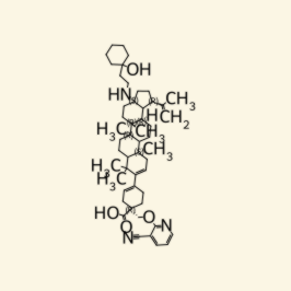 C=C(C)[C@@H]1CC[C@]2(NCCC3(O)CCCCC3)CC[C@]3(C)[C@H](CCC4[C@@]5(C)CC=C(C6=CC[C@](COc7ncccc7C#N)(C(=O)O)CC6)C(C)(C)C5CC[C@]43C)C12